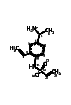 C=Cc1cc(C(C)N)ccc1NS(=O)(=O)C=C